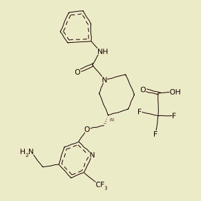 NCc1cc(OC[C@H]2CCCN(C(=O)Nc3ccccc3)C2)nc(C(F)(F)F)c1.O=C(O)C(F)(F)F